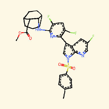 COC(=O)C1C2CCCC(CC2)C1Nc1nc(-c2cn(S(=O)(=O)c3ccc(C)cc3)c3ncc(F)cc23)c(F)cc1F